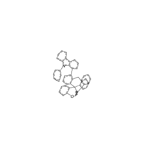 c1ccc(-c2cccc3c2C2(c4ccccc4Cc4c(-c5cccc6c7ccccc7n(-c7ccccc7)c56)cccc42)c2ccccc2O3)cc1